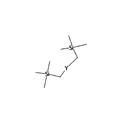 C[Si](C)(C)[CH2][Y][CH2][Si](C)(C)C